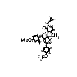 COc1ccc([C@@H]2CN(c3c(C)ccn(CC4CC4)c3=O)C(=O)[C@H]2NC(=O)c2ccc(OC(F)(F)F)cc2)c(F)c1